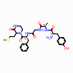 CSCCC1C(=O)NCCN1C(=O)[C@H](Cc1ccccc1)NC(=O)CNC(=O)[C@@H](C)NC(=O)[C@@H](N)Cc1ccc(O)cc1